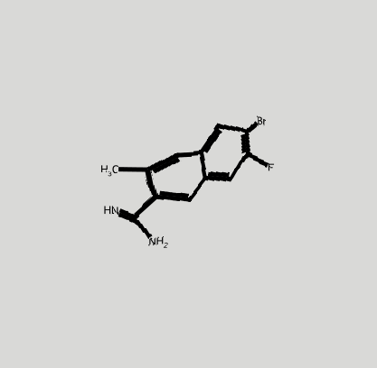 Cc1cc2cc(Br)c(F)cc2cc1C(=N)N